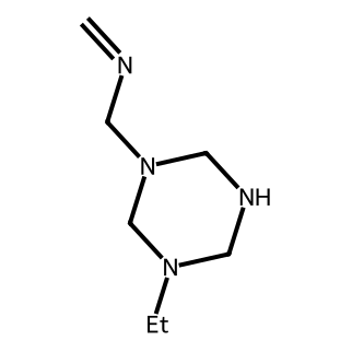 C=NCN1CNCN(CC)C1